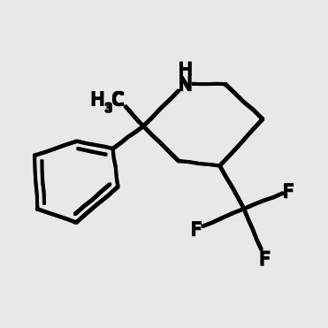 CC1(c2ccccc2)CC(C(F)(F)F)CCN1